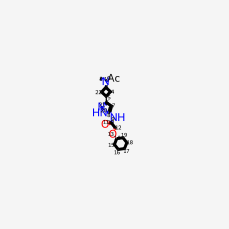 CC(=O)N(C)[C@H]1C[C@@H](c2cc(NC(=O)COC3CCCCC3)[nH]n2)C1